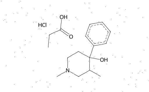 CC1CN(C)CCC1(O)c1ccccc1.CCC(=O)O.Cl